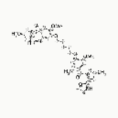 C=C1C[C@H]2C=Nc3cc(OCCCCCOc4cc(N)c(C(=O)N5CC(=C)C[C@H]5C5NCCO5)cc4OC)c(OC)cc3C(=O)N2C1